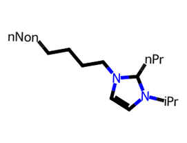 CCCCCCCCCCCCCN1C=CN(C(C)C)C1CCC